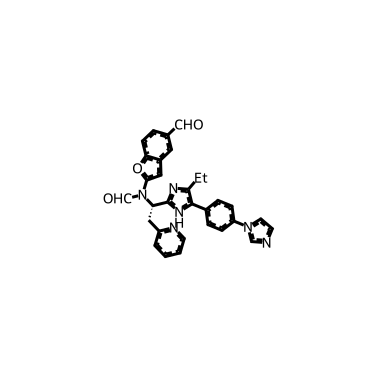 CCc1nc([C@H](Cc2ccccn2)N(C=O)c2cc3cc(C=O)ccc3o2)[nH]c1-c1ccc(-n2ccnc2)cc1